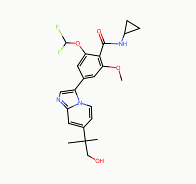 COc1cc(-c2cnc3cc(C(C)(C)CO)ccn23)cc(OC(F)F)c1C(=O)NC1CC1